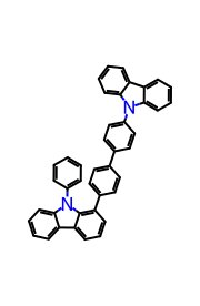 c1ccc(-n2c3ccccc3c3cccc(-c4ccc(-c5ccc(-n6c7ccccc7c7ccccc76)cc5)cc4)c32)cc1